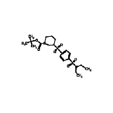 CCN(CC)S(=O)(=O)c1ccc(S(=O)(=O)C2CCCN(C(=O)OC(C)(C)C)C2)cc1